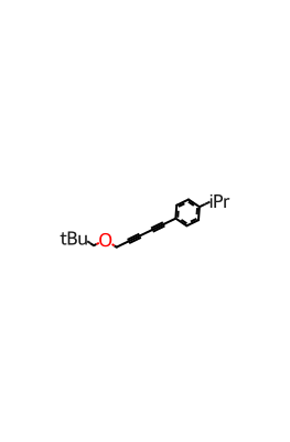 CC(C)c1ccc(C#CC#CCOCC(C)(C)C)cc1